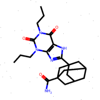 CCCn1c(=O)c2[nH]c(C34CC5CC(CC(C(N)=O)(C5)C3)C4)nc2n(CCC)c1=O